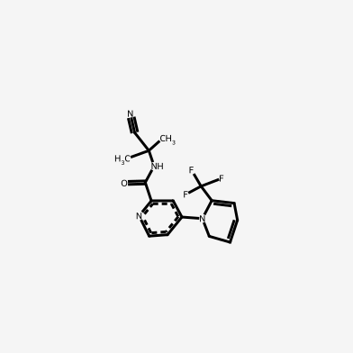 CC(C)(C#N)NC(=O)c1cc(N2CC=CC=C2C(F)(F)F)ccn1